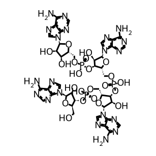 Nc1ncnc2c1ncn2[C@@H]1O[C@H](COP(=O)(O)O[C@H]2[C@@H](O)[C@H](n3cnc4c(N)ncnc43)O[C@@H]2COP(=O)(O)O[C@H]2[C@@H](O)[C@H](n3cnc4c(N)ncnc43)O[C@@H]2COP(=O)(O)O[C@H]2[C@@H](O)[C@H](n3cnc4c(N)ncnc43)O[C@@H]2CO)[C@@H](O)[C@H]1O